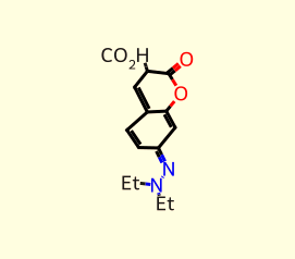 CCN(CC)/N=C1\C=CC2=CC(C(=O)O)C(=O)OC2=C1